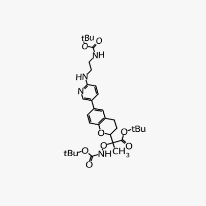 CC(C)(C)OC(=O)NCCNc1ccc(-c2ccc3c(c2)CCC(C(C)(ONC(=O)OC(C)(C)C)C(=O)OC(C)(C)C)O3)cn1